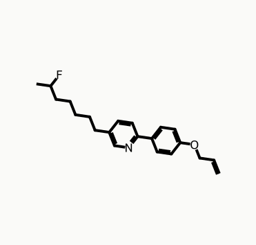 C=CCOc1ccc(-c2ccc(CCCCCC(C)F)cn2)cc1